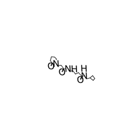 O=C(CCN1CCCCC1=O)NCCCCC(=O)NCC1CCC1